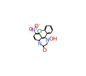 O=C1CN(O)C(c2ccccc2Cl)=c2cc([N+](=O)[O-])ccc2=N1